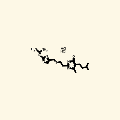 Cc1[nH]c(CCSCc2csc(N=C(N)N)n2)nc(=O)c1CCC(C)C.Cl.Cl